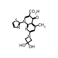 Cc1cc(N2CC(O)(O)C2)nc2c1c(=O)c(C(=O)O)cn2-c1nccs1